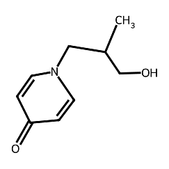 CC(CO)Cn1ccc(=O)cc1